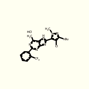 CCCCc1nn(C)c(-c2nc3nc(-c4ccccc4C(F)(F)F)nc(C)c3[nH]2)c1Cl.Cl